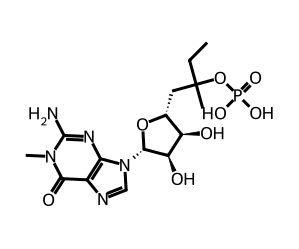 CCC(C)(C[C@H]1O[C@@H](n2cnc3c(=O)n(C)c(N)nc32)[C@H](O)[C@@H]1O)OP(=O)(O)O